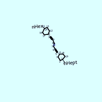 CCCCCCC[C@H]1CC[C@H](C#C/C=C/C#C[C@H]2CC[C@H](CCCCCC)CC2)CC1